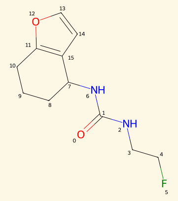 O=C(NCCF)NC1CCCc2occc21